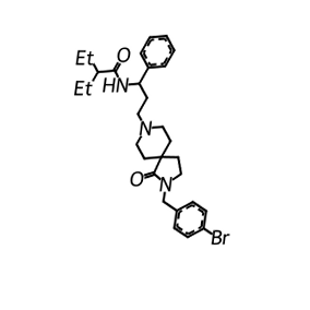 CCC(CC)C(=O)NC(CCN1CCC2(CC1)CCN(Cc1ccc(Br)cc1)C2=O)c1ccccc1